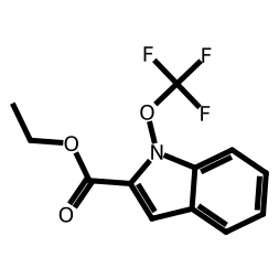 CCOC(=O)c1cc2ccccc2n1OC(F)(F)F